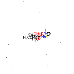 CO[C@@H](C(=O)NC1CSc2ccccc2NC1=O)[C@H](O)[C@@H](O)[C@H](O)/C=C/C(C)(C)C